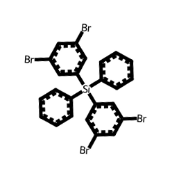 Brc1cc(Br)cc([Si](c2ccccc2)(c2ccccc2)c2cc(Br)cc(Br)c2)c1